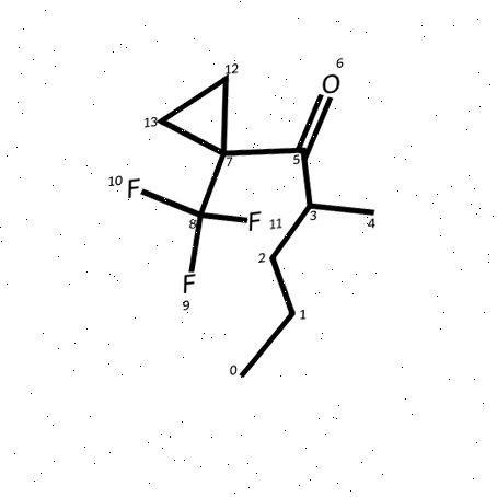 CCCC(C)C(=O)C1(C(F)(F)F)CC1